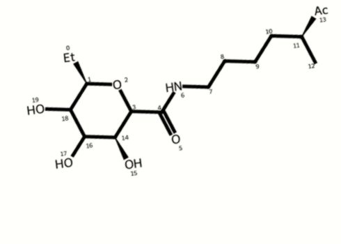 CC[C@H]1OC(C(=O)NCCCC[C@H](C)C(C)=O)[C@@H](O)C(O)C1O